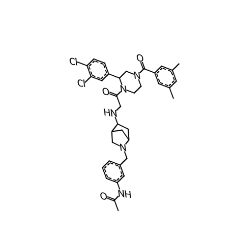 CC(=O)Nc1cccc(CN2CC3CC2CC3NCC(=O)N2CCN(C(=O)c3cc(C)cc(C)c3)CC2c2ccc(Cl)c(Cl)c2)c1